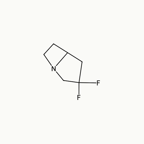 FC1(F)CC2CCN2C1